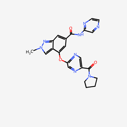 Cn1cc2c(Oc3cnc(C(=O)N4CCCC4)cn3)cc(C(=O)Nc3cnccn3)cc2n1